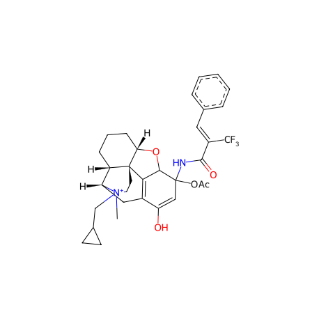 CC(=O)OC1(NC(=O)C(=Cc2ccccc2)C(F)(F)F)C=C(O)C2=C3C1O[C@H]1CCC[C@H]4[C@@H](C2)[N+](C)(CC2CC2)CC[C@]314